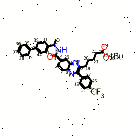 CC(NC(=O)c1ccc2nc(-c3ccc(C(F)(F)F)cc3)c(CCCCC(=O)OC(C)(C)C)nc2c1)c1ccc(-c2ccccc2)cc1